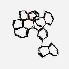 c1ccc(-c2ccccc2N(c2cccc(-c3cccc4ccccc34)c2)c2ccccc2-c2cccc3oc4c5ccccc5ccc4c23)cc1